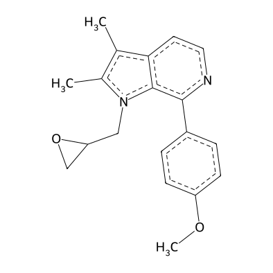 COc1ccc(-c2nccc3c(C)c(C)n(CC4CO4)c23)cc1